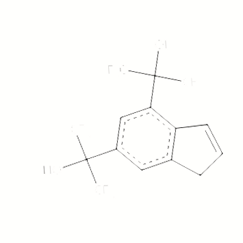 OC(c1cc2c(c(C(O)(C(F)(F)F)C(F)(F)F)c1)C=CC2)(C(F)(F)F)C(F)(F)F